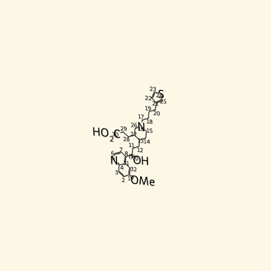 COc1ccc2nccc([C@@H](O)CCC3CCN(CCCCc4ccsc4)CC3CCC(=O)O)c2c1